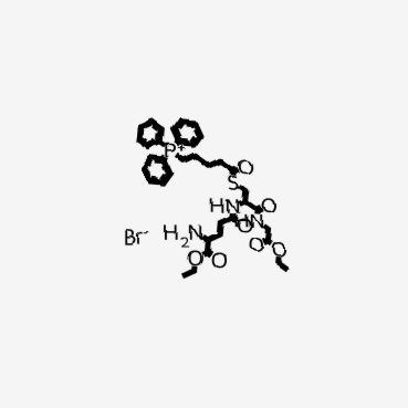 CCOC(=O)CNC(=O)C(CSC(=O)CCCC[P+](c1ccccc1)(c1ccccc1)c1ccccc1)NC(=O)CCC(N)C(=O)OCC.[Br-]